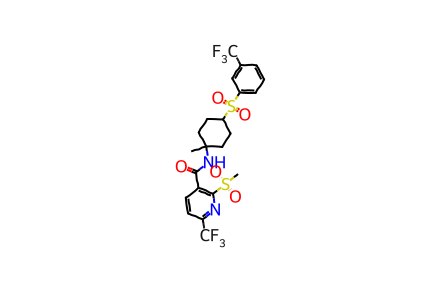 CC1(NC(=O)c2ccc(C(F)(F)F)nc2S(C)(=O)=O)CCC(S(=O)(=O)c2cccc(C(F)(F)F)c2)CC1